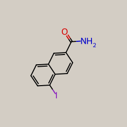 NC(=O)c1ccc2c(I)cccc2c1